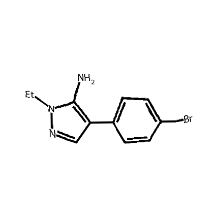 CCn1ncc(-c2ccc(Br)cc2)c1N